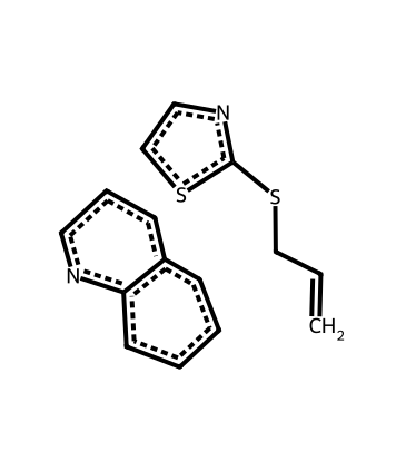 C=CCSc1nccs1.c1ccc2ncccc2c1